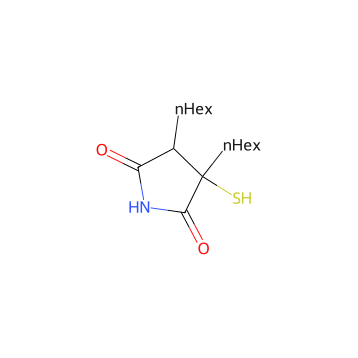 CCCCCCC1C(=O)NC(=O)C1(S)CCCCCC